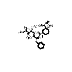 CCCCNC(=O)[C@H](C)C[C@H](O)[C@H](Cc1ccccc1)NC(=O)[C@@H]1CCC[C@](O)([C@H](CCC)NC(C)=O)C1